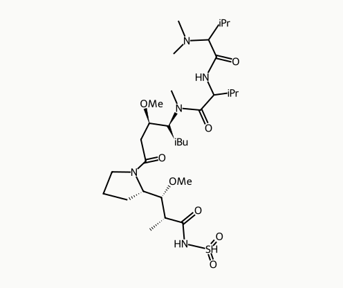 CC[C@H](C)[C@@H]([C@@H](CC(=O)N1CCC[C@H]1[C@H](OC)[C@@H](C)C(=O)N[SH](=O)=O)OC)N(C)C(=O)C(NC(=O)C(C(C)C)N(C)C)C(C)C